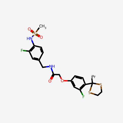 CC(C)C1(c2ccc(OCC(=O)NCc3ccc(NS(C)(=O)=O)c(F)c3)cc2F)SCCS1